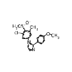 COc1ccc(-c2nccn2-c2cc(C)c([S+](C)[O-])c(Cl)c2)cc1